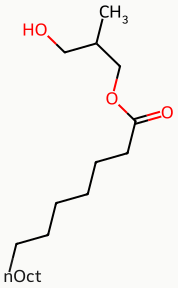 CCCCCCCCCCCCCCC(=O)OCC(C)CO